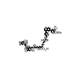 COc1ncc(-c2ccc3nccc(-c4ccc(COC(=O)NCCSSCC(CC(=O)CCC(=O)NCc5cc(C(=O)NCC(=O)N6CC(F)(F)C[C@H]6C#N)c(Cl)cn5)C(=O)O)nc4)c3c2)cc1N